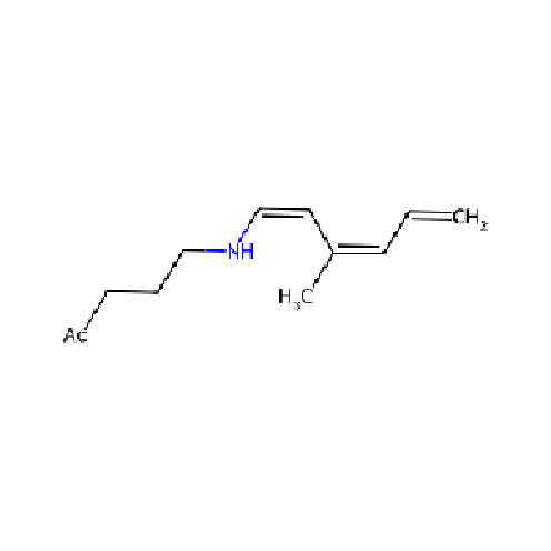 C=C/C=C(C)\C=C/NCCCC(C)=O